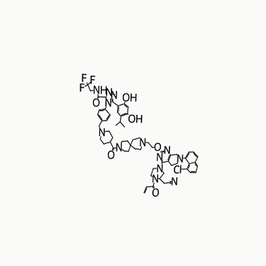 C=CC(=O)N1CCN(c2nc(OCCN3CCC4(CC3)CCN(C(=O)C3CCN(Cc5ccc(-n6c(C(=O)NCC(F)(F)F)nnc6-c6cc(C(C)C)c(O)cc6O)cc5)CC3)CC4)nc3c2CCN(c2cccc4cccc(Cl)c24)C3)CC1CC#N